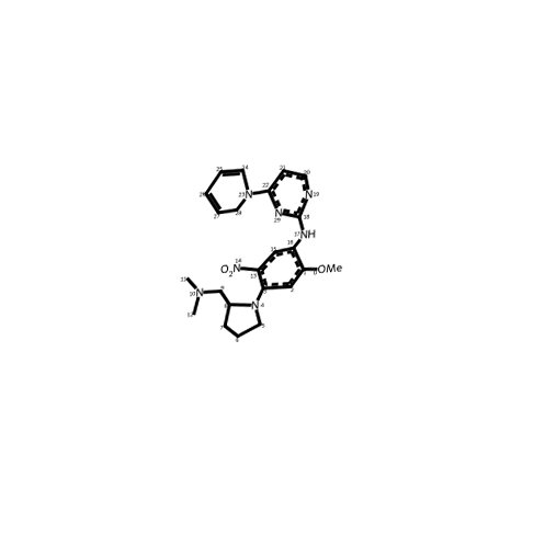 COc1cc(N2CCCC2CN(C)C)c([N+](=O)[O-])cc1Nc1nccc(N2C=CC=CC2)n1